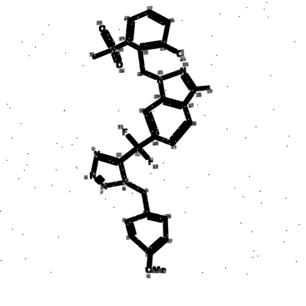 COc1ccc(Cn2nnnc2C(F)(F)c2ccc3c(C)nn(Cc4c(Cl)cccc4S(C)(=O)=O)c3c2)cc1